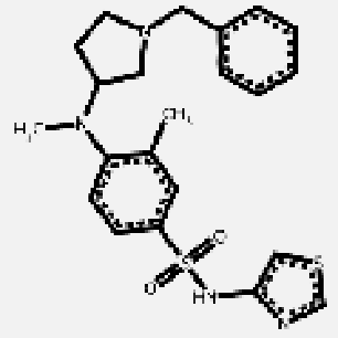 Cc1cc(S(=O)(=O)Nc2cscn2)ccc1N(C)C1CCN(Cc2ccccc2)C1